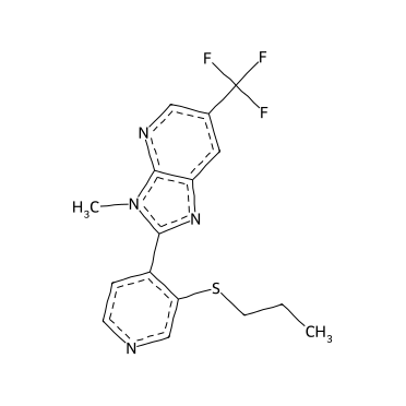 CCCSc1cnccc1-c1nc2cc(C(F)(F)F)cnc2n1C